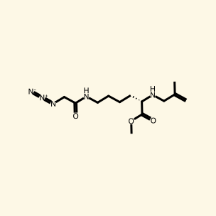 C=C(C)CN[C@@H](CCCCNC(=O)CN=[N+]=[N-])C(=O)OC